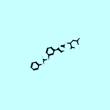 CC(C)CC(Nc1nc(-c2cccc(NC(=O)Nc3ccccc3)c2)cs1)C(=O)O